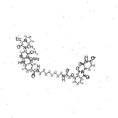 CC[C@H](C(=O)N(C)c1cnc(Nc2ccc(C(=O)NCCCCCCCCNC(=O)COc3cccc4c3C(=O)N(C3CCC(=O)NC3=O)C4=O)cc2OC)nc1C)N1CCCC1